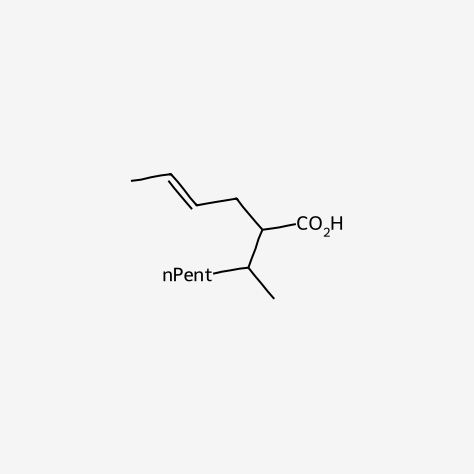 CC=CCC(C(=O)O)C(C)CCCCC